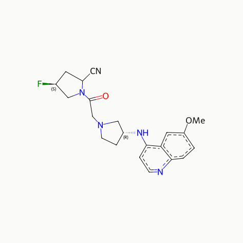 COc1ccc2nccc(N[C@@H]3CCN(CC(=O)N4C[C@@H](F)CC4C#N)C3)c2c1